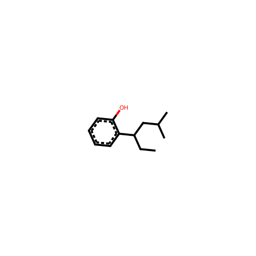 CCC(CC(C)C)c1ccccc1O